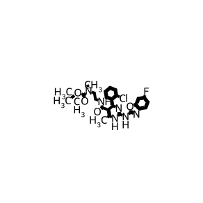 CC1=C(C(=O)NCCN(C)C(=O)OC(C)(C)C)C(c2ccccc2Cl)N=C(Nc2nc3ccc(F)cc3o2)N1